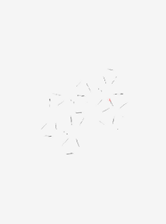 CC(C)(C)c1ccc(-c2ccccc2N2c3cccc4c3B(c3ccc(N(c5ccccc5)c5ccccc5)cc3N4c3ccc(C(C)(C)C)cc3)c3c2sc2cc(C(C)(C)C)ccc32)cc1